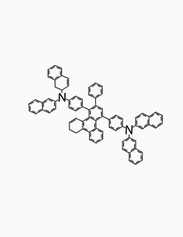 C1=Cc2c(c3ccccc3c3c(-c4ccc(N(c5ccc6ccccc6c5)c5ccc6ccccc6c5)cc4)cc(-c4ccccc4)c(-c4ccc(N(c5ccc6ccccc6c5)C5C=Cc6ccccc6C5)cc4)c23)CC1